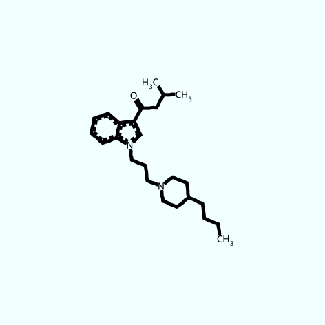 CCCCC1CCN(CCCn2cc(C(=O)CC(C)C)c3ccccc32)CC1